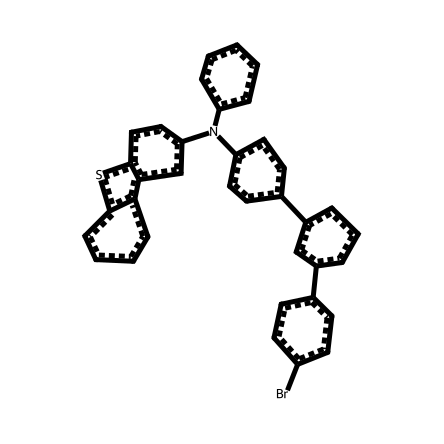 Brc1ccc(-c2cccc(-c3ccc(N(c4ccccc4)c4ccc5sc6ccccc6c5c4)cc3)c2)cc1